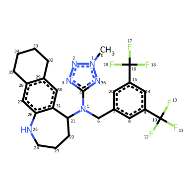 Cn1nnc(N(Cc2cc(C(F)(F)F)cc(C(F)(F)F)c2)C2CCCNc3cc4c(cc32)CCCC4)n1